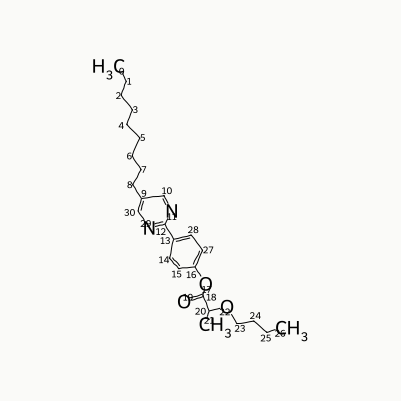 CCCCCCCCCc1cnc(-c2ccc(OC(=O)C(C)OCCCC)cc2)nc1